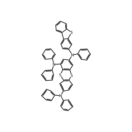 c1ccc(N(c2ccccc2)c2ccc3c(c2)Sc2c(cc(N(c4ccccc4)c4ccc5c(c4)sc4ccccc45)cc2N(c2ccccc2)c2ccccc2)S3)cc1